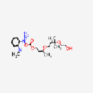 C=Nc1ccccc1N(N)OC(=O)OCCC(C)OCCC(C)(C)OCCO